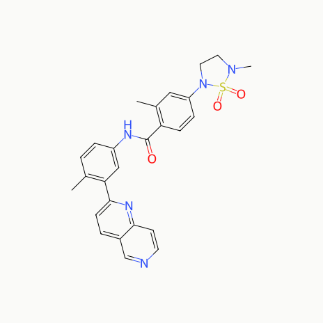 Cc1cc(N2CCN(C)S2(=O)=O)ccc1C(=O)Nc1ccc(C)c(-c2ccc3cnccc3n2)c1